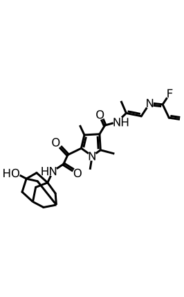 C=C/C(F)=N\C=C(/C)NC(=O)c1c(C)c(C(=O)C(=O)NC23CC4CC(CC(O)(C4)C2)C3)n(C)c1C